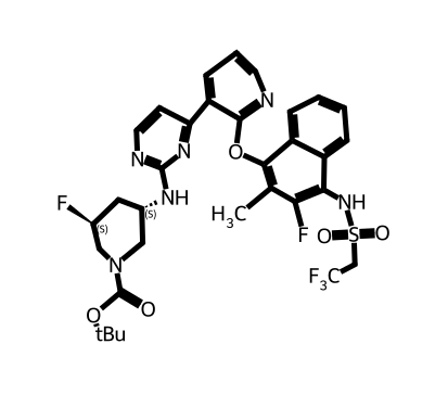 Cc1c(F)c(NS(=O)(=O)CC(F)(F)F)c2ccccc2c1Oc1ncccc1-c1ccnc(N[C@H]2C[C@H](F)CN(C(=O)OC(C)(C)C)C2)n1